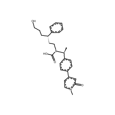 C[C@@H](c1ccc(-c2ccn(C)c(=O)c2)cc1)N(CC[C@H](CCCO)c1ccccc1)C(=O)O